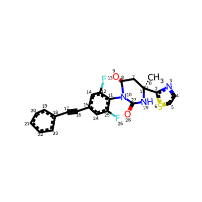 C[C@@]1(c2nccs2)CC(=O)N(c2c(F)cc(C#Cc3ccccc3)cc2F)C(=O)N1